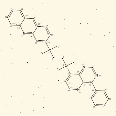 CC(C)(CCC(C)(C)c1ccnc2c(-c3ccccc3)ncnc12)c1ccc2cc3ccccc3nc2c1